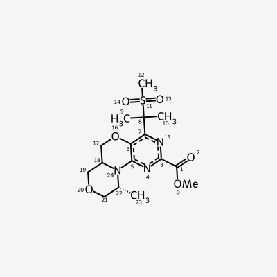 COC(=O)c1nc2c(c(C(C)(C)S(C)(=O)=O)n1)OCC1COC[C@@H](C)N21